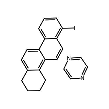 Ic1cccc2c1ccc1c3c(ccc12)CCCC3.c1cnccn1